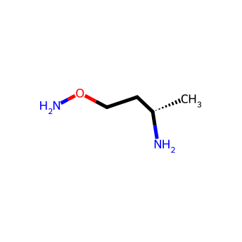 C[C@H](N)CCON